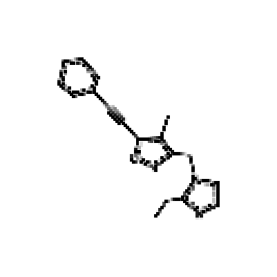 CCc1nccn1Cc1noc(C#Cc2ccccc2)c1C